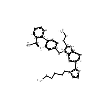 CCCCCCn1ccnc1-c1ccc2nc(CCC)n(Cc3ccc(-c4ccccc4C(=O)O)cc3)c2c1